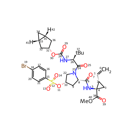 C=C[C@@H]1C[C@]1(NC(=O)[C@@H]1C[C@H](OS(=O)(=O)c2ccc(Br)cc2)CN1C(=O)[C@@H](NC(=O)O[C@@H]1C[C@@H]2C[C@@H]2C1)C(C)(C)C)C(=O)OC